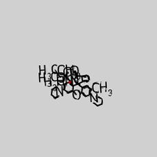 Cc1cc2c(cc1N1CCCCC1)Oc1cc(N3CCCCC3)c(C)cc1C21c2ccccc2C(=O)N1NC(=O)OC(C)(C)C